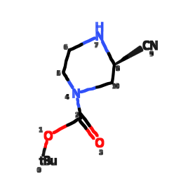 CC(C)(C)OC(=O)N1CCN[C@@H](C#N)C1